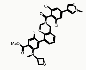 COC(=O)c1cc(F)c(-c2cccc3c2OCN(C(=O)c2c(Cl)cc(-c4cnn(C)c4)cc2Cl)C3)cc1N(C)C1COC1